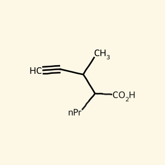 C#CC(C)C(CCC)C(=O)O